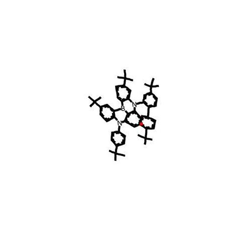 CC(C)(C)c1ccc(-c2ccc(C(C)(C)C)cc2N2c3cc(C(C)(C)C)ccc3B3c4cc(C(C)(C)C)ccc4N(c4ccc(C(C)(C)C)cc4)c4cccc2c43)cc1